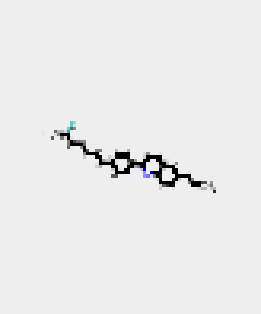 C=CCc1ccc2nc(-c3ccc(CCCCCC(C)F)cc3)ccc2c1